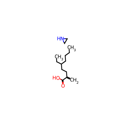 C1CN1.C=C(CCC(CC)CCCC)C(=O)O